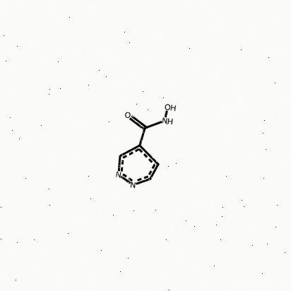 O=C(NO)c1ccnnc1